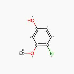 CCOc1cc(O)ccc1Br